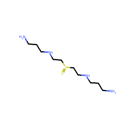 NCCCNCCS(=S)CCNCCCN